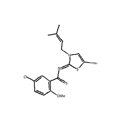 COc1ccc(Cl)cc1C(=S)/N=c1\sc(C(C)(C)C)cn1CC=C(C)C